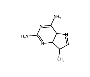 CC1C=NC2C(N)=NC(N)=NC12